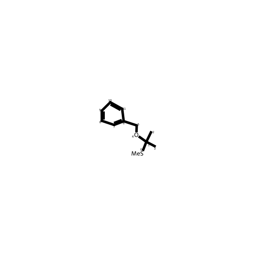 CSC(C)(C)OCc1ccccc1